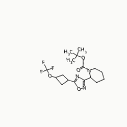 CC(C)(C)OC(=O)N1CCCCC1c1noc(C2CC(OC(F)(F)F)C2)n1